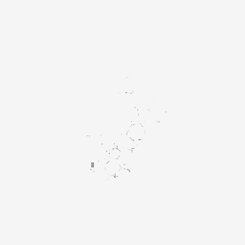 CC(C)(C)OC(=O)CNC(c1ccc(Nc2nn(C3COCCC3C#N)c3cc[nH]c(=O)c23)cc1)C(F)(F)F